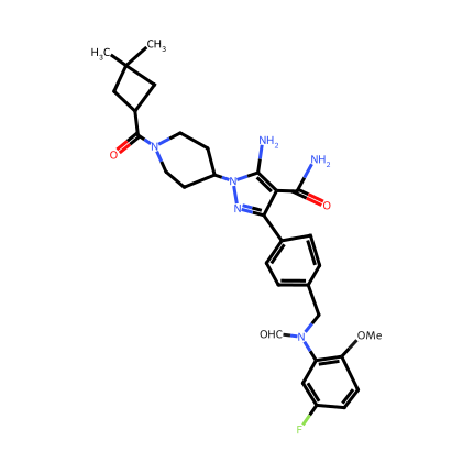 COc1ccc(F)cc1N(C=O)Cc1ccc(-c2nn(C3CCN(C(=O)C4CC(C)(C)C4)CC3)c(N)c2C(N)=O)cc1